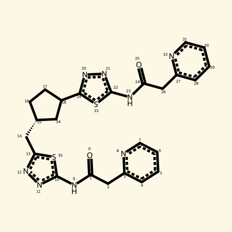 O=C(Cc1ccccn1)Nc1nnc(C[C@@H]2CCC(c3nnc(NC(=O)Cc4ccccn4)s3)C2)s1